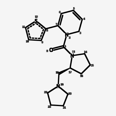 O=C(N1CC=CC=C1c1cccs1)N1CCC[C@H]1CN1CCCC1